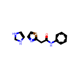 C1=CNCN1.O=C(Cc1nccs1)Nc1ccccc1